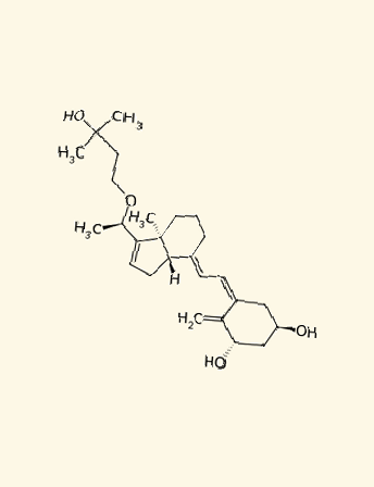 C=C1C(=CC=C2CCC[C@]3(C)C([C@@H](C)OCCC(C)(C)O)=CC[C@@H]23)C[C@@H](O)C[C@@H]1O